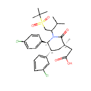 CC(C)C(CS(=O)(=O)C(C)(C)C)N1C(=O)[C@@](C)(CC(=O)O)C[C@H](c2cccc(Cl)c2)[C@H]1c1ccc(Cl)cc1